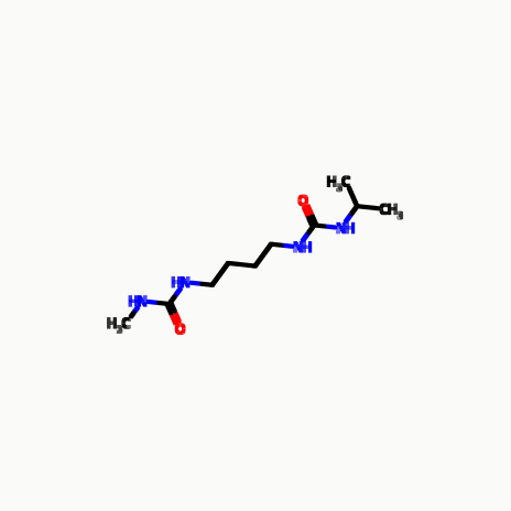 CNC(=O)NCCCCNC(=O)NC(C)C